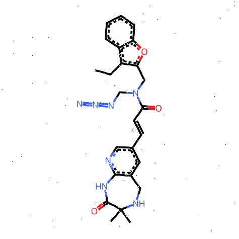 CCc1c(CN(CN=[N+]=[N-])C(=O)/C=C/c2cnc3c(c2)CNC(C)(C)C(=O)N3)oc2ccccc12